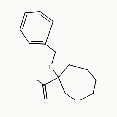 O=C(O)C1(NCc2ccccc2)CCCCOC1